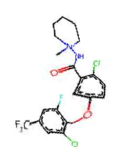 C[N+]1(NC(=O)c2cc(Oc3c(F)cc(C(F)(F)F)cc3Cl)ccc2Cl)CCCCC1